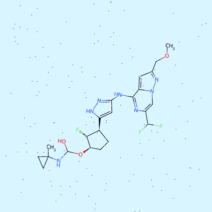 COCc1cc2c(Nc3cc([C@H]4CC[C@@H](OC(O)NC5(C)CC5)[C@H]4F)[nH]n3)nc(C(F)F)cn2n1